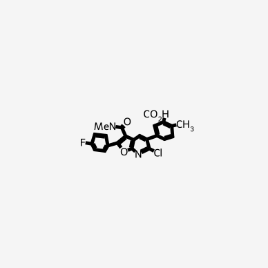 CNC(=O)c1c(-c2ccc(F)cc2)oc2nc(Cl)c(-c3ccc(C)c(C(=O)O)c3)cc12